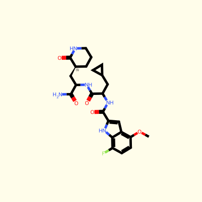 COc1ccc(F)c2[nH]c(C(=O)NC(CC3CC3)C(=O)NC(C[C@@H]3CCCNC3=O)C(N)=O)cc12